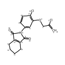 C=C(Cl)COc1cc(N2C(=O)C3=C(CCCC3)C2=O)ccc1Cl